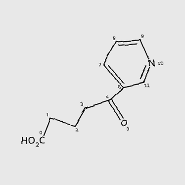 O=C(O)CCCC(=O)c1cccnc1